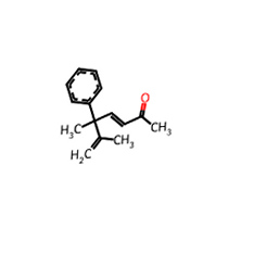 C=C(C)C(C)(C=CC(C)=O)c1ccccc1